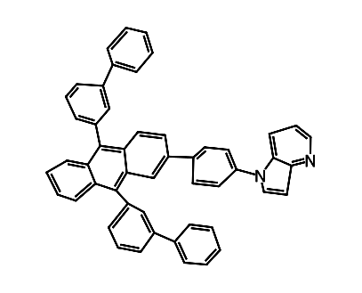 c1ccc(-c2cccc(-c3c4ccccc4c(-c4cccc(-c5ccccc5)c4)c4cc(-c5ccc(-n6ccc7ncccc76)cc5)ccc34)c2)cc1